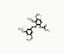 COc1cc(CCc2c(NC(C)=O)ccc(OC)c2OC)cc(OC)c1